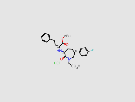 CCCCOC(=O)[C@H](CCc1ccccc1)N[C@H]1CC[C@H](c2ccc(F)cc2)CN(CC(=O)O)C1=O.Cl